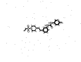 CCS(=O)(=O)N1CCN(CCc2cccc(NC(=O)Nc3ccc(C)nc3)c2)CC1